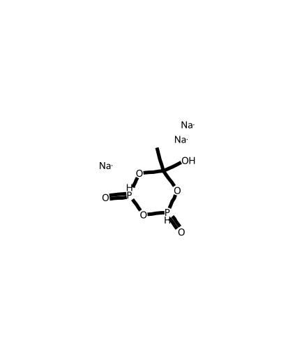 CC1(O)O[PH](=O)O[PH](=O)O1.[Na].[Na].[Na]